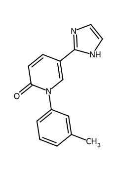 Cc1cccc(-n2cc(-c3ncc[nH]3)ccc2=O)c1